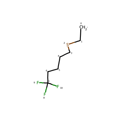 [CH2]CSCCCCC(F)(F)F